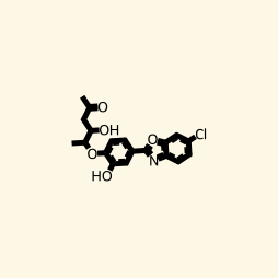 CC(=O)CC(O)C(C)Oc1ccc(-c2nc3ccc(Cl)cc3o2)cc1O